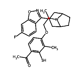 CC(=O)c1ccc(OCC(C)N2C3CCC2CC(c2noc4cc(F)ccc24)C3)c(C)c1S